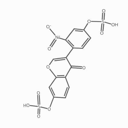 O=c1c(-c2ccc(OS(=O)(=O)O)cc2[N+](=O)[O-])coc2cc(OS(=O)(=O)O)ccc12